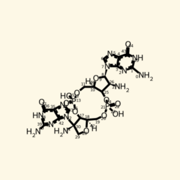 Nc1nc2c(ncn2[C@@H]2O[C@@H]3COP(=O)(O)OC4[C@@H](COP(=O)(O)OC3[C@@H]2N)OC[C@]4(N)n2cnc3c(=O)[nH]c(N)nc32)c(=O)[nH]1